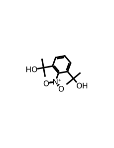 CC(C)(O)c1cccc(C(C)(C)O)c1[N+](=O)[O-]